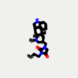 CCCN1C(=O)CN(C[C@@H]2C[C@@H]3c4cccc5[nH]cc(c45)C[C@H]3N(C)C2)C1=O